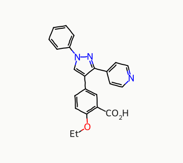 CCOc1ccc(-c2cn(-c3ccccc3)nc2-c2ccncc2)cc1C(=O)O